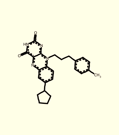 Cc1ccc(CCCn2c3nc(=O)[nH]c(=O)c-3nc3cc(C4CCCC4)ccc32)cc1